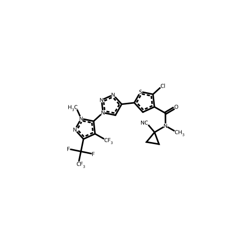 CN(C(=O)c1cc(-c2cn(-c3c(C(F)(F)F)c(C(F)(F)C(F)(F)F)nn3C)nn2)sc1Cl)C1(C#N)CC1